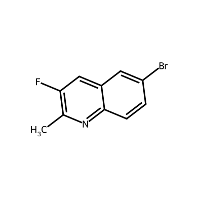 Cc1nc2ccc(Br)cc2cc1F